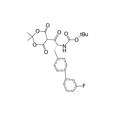 CC(C)(C)OC(=O)N[C@H](Cc1ccc(-c2cccc(F)c2)cc1)C(=O)C1C(=O)OC(C)(C)OC1=O